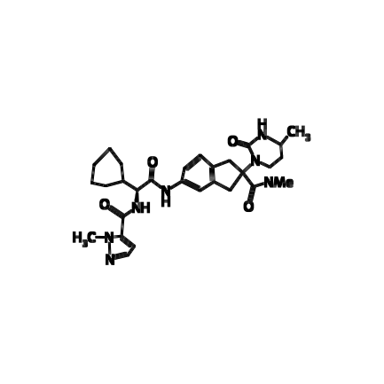 CNC(=O)C1(N2CCC(C)NC2=O)Cc2ccc(NC(=O)[C@@H](NC(=O)c3ccnn3C)C3CCCCC3)cc2C1